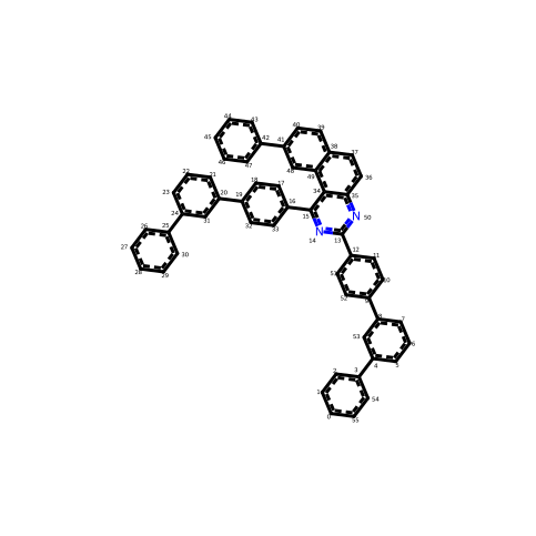 c1ccc(-c2cccc(-c3ccc(-c4nc(-c5ccc(-c6cccc(-c7ccccc7)c6)cc5)c5c(ccc6ccc(-c7ccccc7)cc65)n4)cc3)c2)cc1